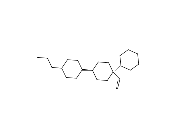 C=C[C@]1(C2CCCCC2)CC[C@H](C2CCC(CCC)CC2)CC1